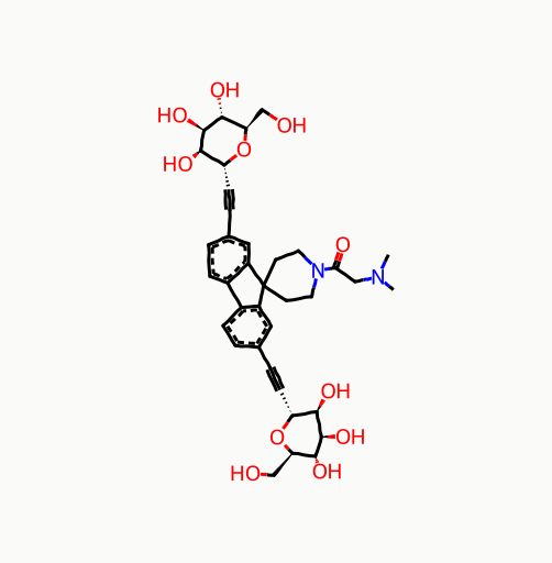 CN(C)CC(=O)N1CCC2(CC1)c1cc(C#C[C@H]3O[C@H](CO)[C@@H](O)[C@H](O)[C@@H]3O)ccc1-c1ccc(C#C[C@H]3O[C@H](CO)[C@@H](O)[C@H](O)[C@@H]3O)cc12